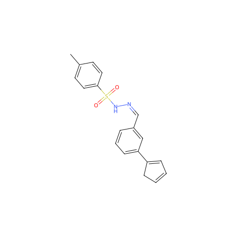 Cc1ccc(S(=O)(=O)N/N=C\c2cccc(C3=CC=CC3)c2)cc1